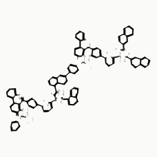 CCc1nc2c3c(-c4ccc(-c5cccc(-c6nc(-c7cccc8ccccc78)nc(-c7cccc8cc(-c9ccc(-n%10c(CC)nc%11c%12c(-c%13ccc(-c%14cccc(-c%15nc(-c%16ccc%17ccccc%17c%16)nc(-c%16ccc%17ccccc%17c%16)n%15)n%14)cc%13)nc%13ccccc%13c%12ccc%11%10)cc9)ccc78)n6)n5)cc4)nc4ccccc4c3ccc2n1-c1ccccc1